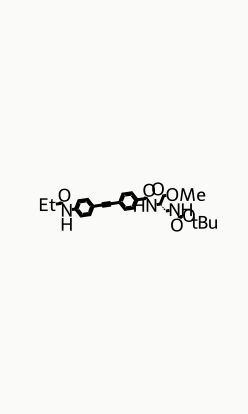 CCC(=O)Nc1ccc(C#Cc2ccc(C(=O)N[C@@H](CNC(=O)OC(C)(C)C)C(=O)OC)cc2)cc1